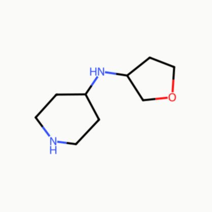 C1CC(NC2CCOC2)CCN1